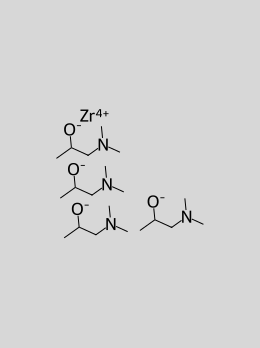 CC([O-])CN(C)C.CC([O-])CN(C)C.CC([O-])CN(C)C.CC([O-])CN(C)C.[Zr+4]